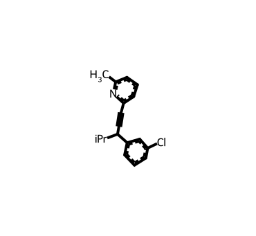 Cc1cccc(C#CC(c2cccc(Cl)c2)C(C)C)n1